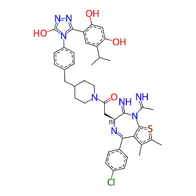 CC(=N)N1C(=N)[C@H](CC(=O)N2CCC(Cc3ccc(-n4c(O)nnc4-c4cc(C(C)C)c(O)cc4O)cc3)CC2)N=C(c2ccc(Cl)cc2)c2c1sc(C)c2C